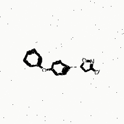 ClC1=NO[C@@H](c2ccc(Oc3ccccc3)cc2)C1